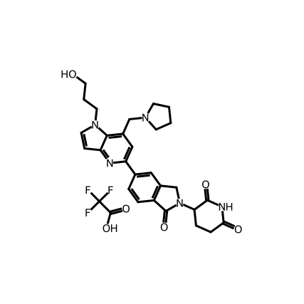 O=C(O)C(F)(F)F.O=C1CCC(N2Cc3cc(-c4cc(CN5CCCC5)c5c(ccn5CCCO)n4)ccc3C2=O)C(=O)N1